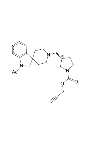 C#CCOC(=O)N1CC[C@H](CN2CCC3(CC2)CN(C(C)=O)c2ccccc23)C1